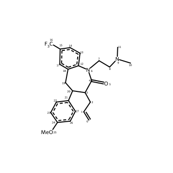 C=CCC1C(=O)N(CCN(C)C)c2ccc(C(F)(F)F)cc2CC1c1ccc(OC)cc1